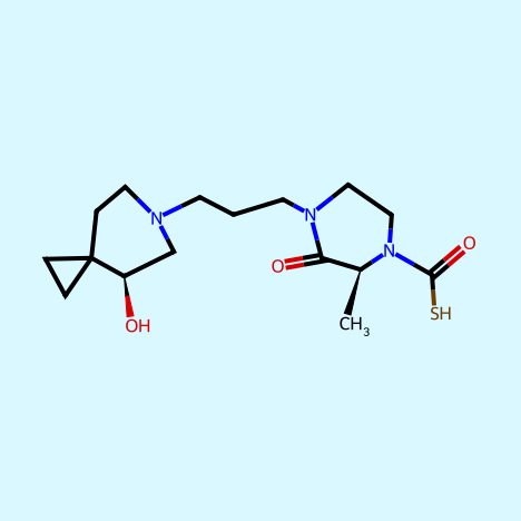 C[C@H]1C(=O)N(CCCN2CCC3(CC3)[C@H](O)C2)CCN1C(=O)S